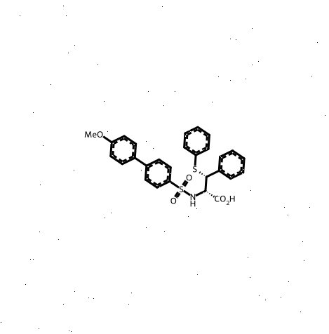 COc1ccc(-c2ccc(S(=O)(=O)N[C@@H](C(=O)O)[C@H](Sc3ccccc3)c3ccccc3)cc2)cc1